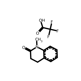 CN1C(=O)CCc2ccccc21.O=C(O)C(F)(F)F